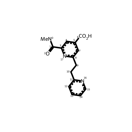 CNC(=O)c1cc(C(=O)O)cc(CCc2ccccn2)n1